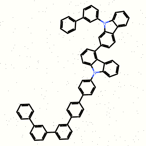 c1ccc(-c2cccc(-c3cccc(-c4ccc(-c5ccc(-n6c7ccccc7c7c(-c8ccc9c%10ccccc%10n(-c%10cccc(-c%11ccccc%11)c%10)c9c8)cccc76)cc5)cc4)c3)c2)cc1